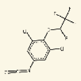 O=C=Nc1cc(Cl)c(OC(F)C(F)(F)F)c(Cl)c1